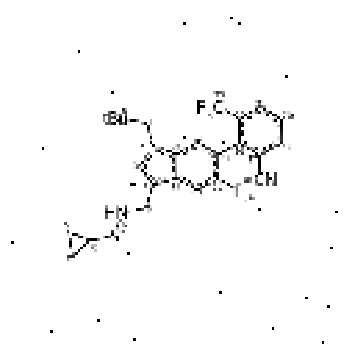 CC(C)(C)Cn1cc(CNSC2CC2)c2cc(F)c(-c3c(C#N)cccc3C(F)(F)F)cc21